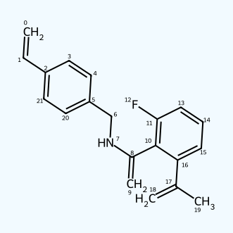 C=Cc1ccc(CNC(=C)c2c(F)cccc2C(=C)C)cc1